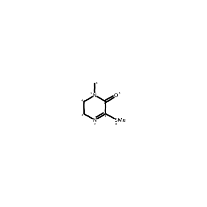 CSC1=NCCN(C)C1=O